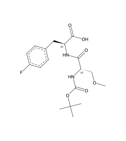 COC[C@H](NC(=O)OC(C)(C)C)C(=O)N[C@@H](Cc1ccc(F)cc1)C(=O)O